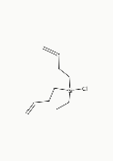 C=CCC[Si](Cl)(CC)CCC=C